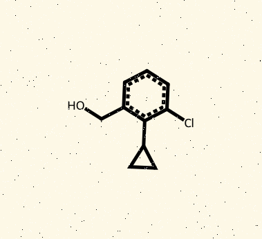 O[CH]c1cccc(Cl)c1C1CC1